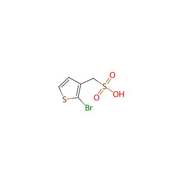 O=S(=O)(O)Cc1ccsc1Br